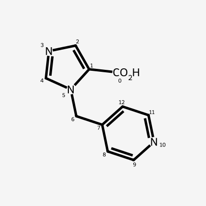 O=C(O)c1cncn1Cc1ccncc1